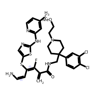 C=C(C(=O)NCC1(c2ccc(Cl)c(Cl)c2)CCN(CCOC)CC1)/C(F)=C(\C=C/N)Sc1cnc(Nc2cc(C)ccn2)s1